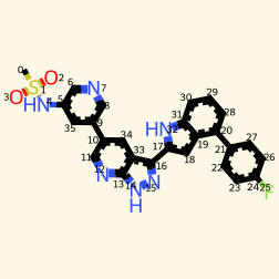 CS(=O)(=O)Nc1cncc(-c2cnc3[nH]nc(-c4cc5c(-c6ccc(F)cc6)cccc5[nH]4)c3c2)c1